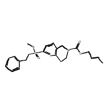 CCCCOC(=O)N1CCc2nc(P(=O)(CCc3ccccc3)OC)ccc2C1